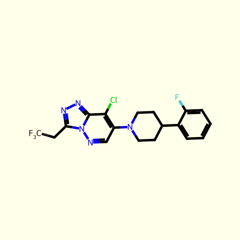 Fc1ccccc1C1CCN(c2cnn3c(CC(F)(F)F)nnc3c2Cl)CC1